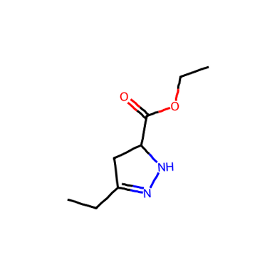 CCOC(=O)C1CC(CC)=NN1